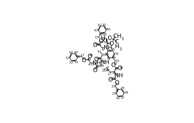 CC(C)(C)OC(=O)N[C@H](CCC(=O)N[C@H](CSC[C@H](NC(=O)OCc1ccccc1)C(=O)OCc1ccccc1)C(=O)NCC(=O)OCc1ccccc1)C(=O)OCc1ccccc1